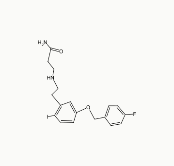 NC(=O)CCNCCc1cc(OCc2ccc(F)cc2)ccc1I